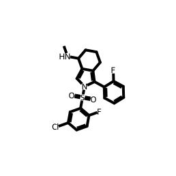 CNC1CCCc2c1cn(S(=O)(=O)c1cc(Cl)ccc1F)c2-c1ccccc1F